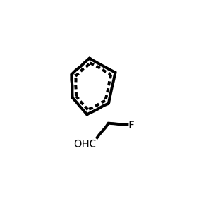 O=CCF.c1ccccc1